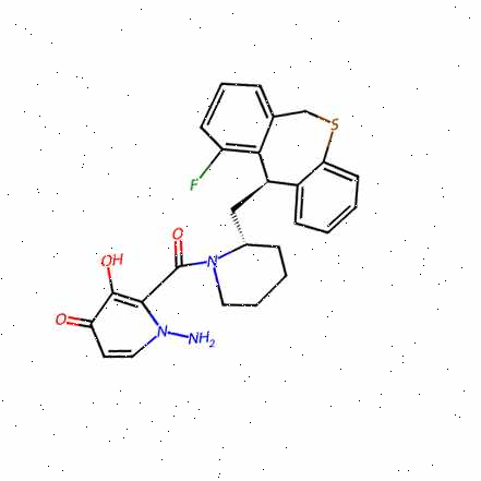 Nn1ccc(=O)c(O)c1C(=O)N1CCCC[C@H]1C[C@@H]1c2ccccc2SCc2cccc(F)c21